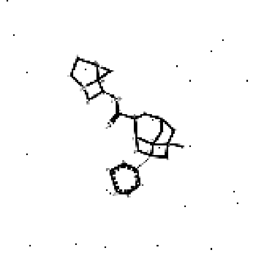 C[C@]12CC3CC4(C(=S)N[C@H]5CN6CCC7CC756)CC1(C3)[C@](c1ccccc1)(C4)C2